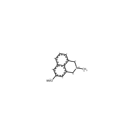 COc1cc2c3c(cccc3c1)CN(C)C2